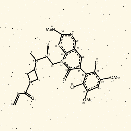 C=CC(=O)N1CC(N(C)[C@@H](C)Cn2c(=O)c(-c3c(Cl)c(OC)cc(OC)c3Cl)cc3cnc(NC)nc32)C1